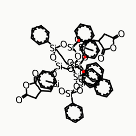 C[Si]1(CC2CC(=O)OC2=O)O[Si]2(c3ccccc3)C[Si]3(c4ccccc4)O[Si]4(c5ccccc5)O[Si](C)(CC5CC(=O)OC5=O)O[Si]5(c6ccccc6)O[Si](c6ccccc6)(O3)O[Si](c3ccccc3)(O1)O[Si](c1ccccc1)(O5)O[Si](c1ccccc1)(O2)O4